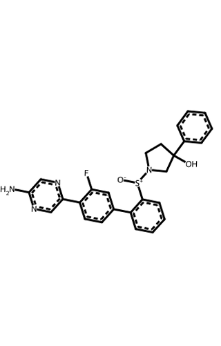 Nc1cnc(-c2ccc(-c3ccccc3[S+]([O-])N3CCC(O)(c4ccccc4)C3)cc2F)cn1